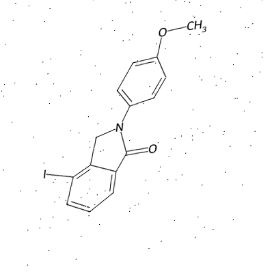 COc1ccc(N2Cc3c(I)cccc3C2=O)cc1